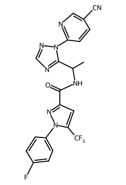 CC(NC(=O)c1cc(C(F)(F)F)n(-c2ccc(F)cc2)n1)c1ncnn1-c1ccc(C#N)cn1